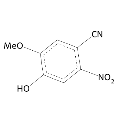 COc1cc(C#N)c([N+](=O)[O-])cc1O